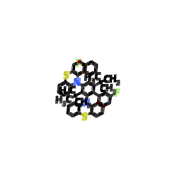 CC(C)(C)c1c(-c2cccc(F)c2)c(N2c3ccccc3Sc3ccccc32)c(C(C)(C)C)c(N2c3ccccc3Sc3ccccc32)c1-c1cccc(F)c1